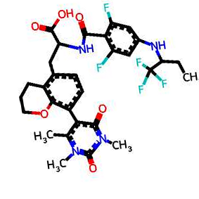 CCC(Nc1cc(F)c(C(=O)NC(Cc2ccc(-c3c(C)n(C)c(=O)n(C)c3=O)c3c2CCCO3)C(=O)O)c(F)c1)C(F)(F)F